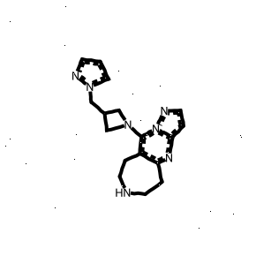 c1cnn(CC2CN(c3c4c(nc5ccnn35)CCNCC4)C2)c1